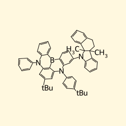 CC(C)(C)c1ccc(N2c3cc(N4c5ccccc5C5(C)CCc6ccccc6C45C)ccc3B3c4ccccc4N(c4ccccc4)c4cc(C(C)(C)C)cc2c43)cc1